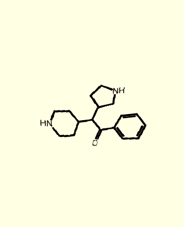 O=C(c1ccccc1)C(C1CCNCC1)C1CCNC1